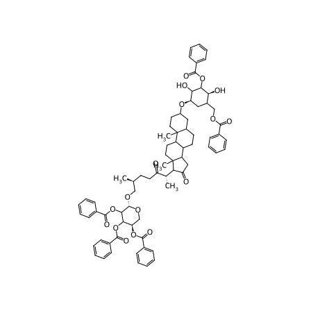 C[C@@H](CCC(=O)[C@@H](C)C1C(=O)CC2C3CCC4CC(O[C@@H]5CC(COC(=O)c6ccccc6)[C@H](O)C(OC(=O)c6ccccc6)C5O)CCC4(C)C3CCC21C)CO[C@@H]1OC[C@@H](OC(=O)c2ccccc2)C(OC(=O)c2ccccc2)C1OC(=O)c1ccccc1